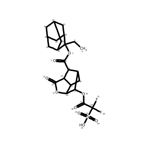 CCC1(OC(=O)C2C3CC4C(OC(=O)C42)C3OC(=O)C(F)(F)S(=O)(=O)O)C2CC3CC(C2)CC1C3